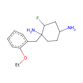 CCOc1ccccc1CC1(N)CCC(N)CC1F